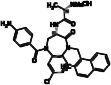 CN[C@@H](C)C(=O)N[C@H]1CN(C(=O)c2ccc(N)cc2)c2cc(Cl)ccc2N(Cc2c(C)ccc3ccccc23)C1=O.Cl